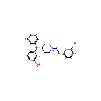 Oc1cccc(N(c2cccnc2)C2CCN(CCc3cccc(F)c3)CC2)c1